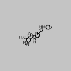 Cc1c(-c2[nH]c3ccc(C4CC(NC5CCOCC5)C4)nc3c2C(C)C)cn2ncnc2c1C